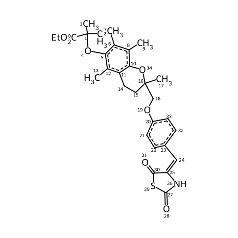 CCOC(=O)C(C)(C)Oc1c(C)c(C)c2c(c1C)CCC(C)(COc1ccc(C=C3NC(=O)SC3=O)cc1)O2